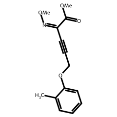 CON=C(C#CCOc1ccccc1C)C(=O)OC